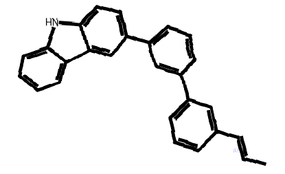 C/C=C/c1cccc(-c2cccc(-c3ccc4[nH]c5ccccc5c4c3)c2)c1